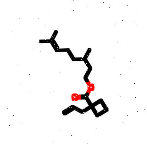 C=CCC1(C(=O)OCCC(C)CCC=C(C)C)CCC1